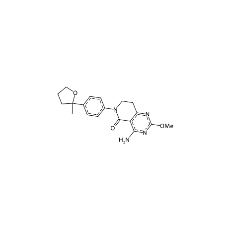 COc1nc(N)c2c(n1)CCN(c1ccc(C3(C)CCCO3)cc1)C2=O